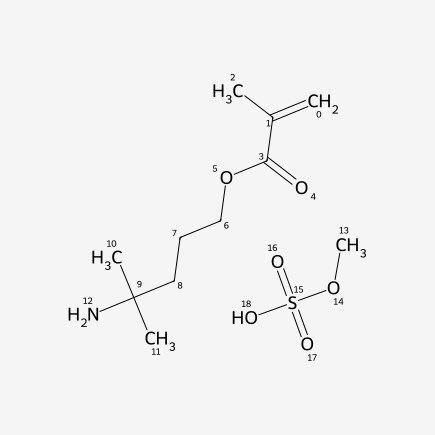 C=C(C)C(=O)OCCCC(C)(C)N.COS(=O)(=O)O